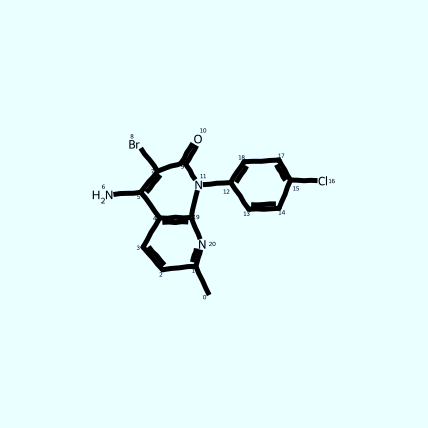 Cc1ccc2c(N)c(Br)c(=O)n(-c3ccc(Cl)cc3)c2n1